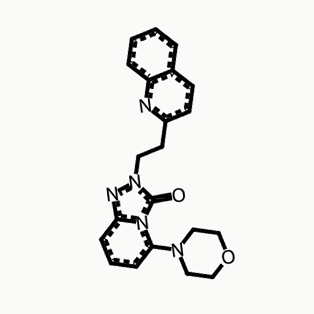 O=c1n(CCc2ccc3ccccc3n2)nc2cccc(N3CCOCC3)n12